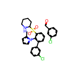 Cc1cccn1-c1c(-c2cccc(Cl)c2)cccc1S(=O)(=O)C1CCCCN1.O=Cc1cccc(Cl)c1